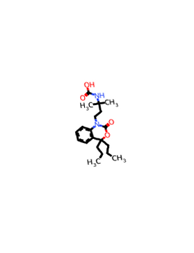 CCCC1(CCC)OC(=O)N(CCC(C)(C)NC(=O)O)c2ccccc21